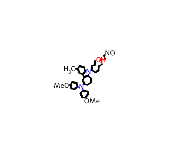 COc1ccc(N(C2=Cc3c(n(C(/C=C\CCOCCN=O)=C/C=C/O)c4ccc(C)cc34)C=CC2)c2ccc(OC)cc2)cc1